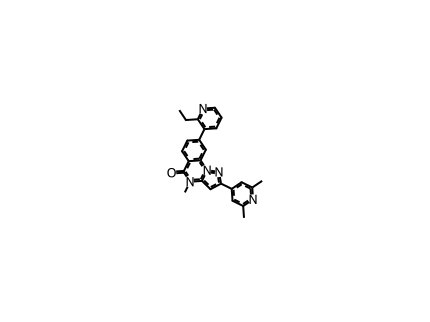 CCc1ncccc1-c1ccc2c(=O)n(C)c3cc(-c4cc(C)nc(C)c4)nn3c2c1